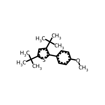 COc1ccc(-c2sc(C(C)(C)C)cc2C(C)(C)C)cc1